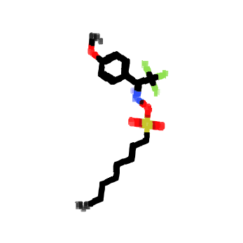 CCCCCCCCS(=O)(=O)O/N=C(/c1ccc(OC)cc1)C(F)(F)F